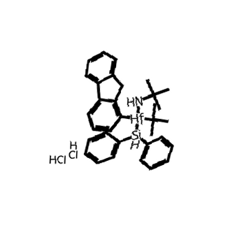 CC(C)(C)[NH][Hf]([c]1cccc2c1Cc1ccccc1-2)([SiH](c1ccccc1)c1ccccc1)[C](C)(C)C.Cl.Cl